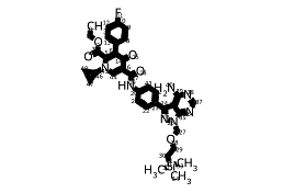 CCOC(=O)c1c(-c2ccc(F)cc2)c(=O)c(C(=O)Nc2ccc(-c3nn(COCC[Si](C)(C)C)c4ncnc(N)c34)cc2)cn1C1CC1